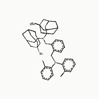 Cc1ccccc1P(Cc1ccccc1CP(C12CC3CC(C1)CC(C(C)(C)C)(C3)C2)C12CC3CC(C1)CC(C(C)(C)C)(C3)C2)c1ccccc1C